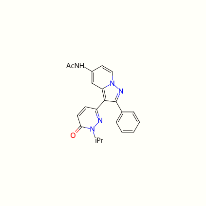 CC(=O)Nc1ccn2nc(-c3ccccc3)c(-c3ccc(=O)n(C(C)C)n3)c2c1